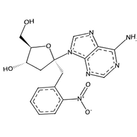 Nc1ncnc2c1ncn2[C@@]1(Cc2ccccc2[N+](=O)[O-])C[C@H](O)[C@@H](CO)O1